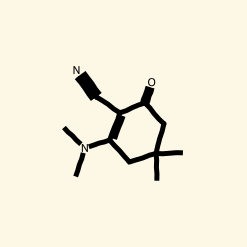 CN(C)C1=C(C#N)C(=O)CC(C)(C)C1